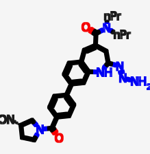 CCCN(CCC)C(=O)C1=Cc2ccc(-c3ccc(C(=O)N4CC[C@H](N=O)C4)cc3)cc2NC(N=NN)C1